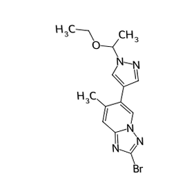 CCOC(C)n1cc(-c2cn3nc(Br)nc3cc2C)cn1